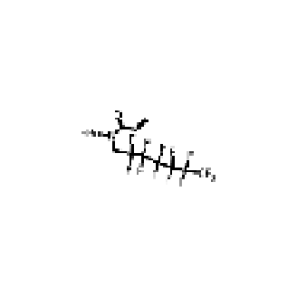 C=CC(=O)N(CCCC)CC(F)(F)C(F)(F)C(F)(F)C(F)(F)C(F)(F)C(F)(F)F